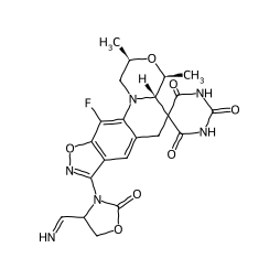 C[C@@H]1CN2c3c(cc4c(N5C(=O)OCC5C=N)noc4c3F)CC3(C(=O)NC(=O)NC3=O)[C@H]2[C@H](C)O1